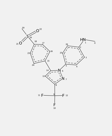 CNc1ccc(-n2nc(C(F)(F)F)cc2-c2ccc(S(C)(=O)=O)cc2)cc1